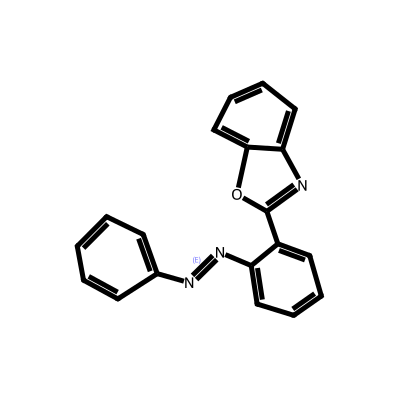 c1ccc(/N=N/c2ccccc2-c2nc3ccccc3o2)cc1